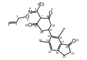 C=CCO/N=C(/CC)C1C(=O)CC(c2c(C)cc3c(c2C)C(=O)CC3)CC1=O